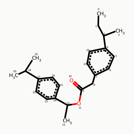 CCC(C)c1ccc(CC(=O)OC(C)c2ccc(C(C)C)cc2)cc1